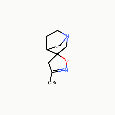 CC(C)COC1=NOC2(C1)CN1CCC2CC1